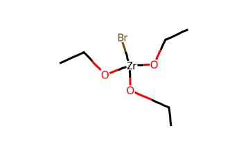 CC[O][Zr]([Br])([O]CC)[O]CC